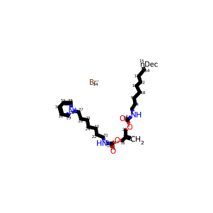 C=C(COC(=O)NCCCCCCCCCCCCCCCCCC)COC(=O)NCCCCCCC[n+]1ccccc1.[Br-]